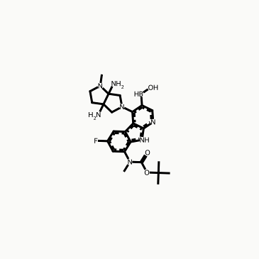 CN(C(=O)OC(C)(C)C)c1cc(F)cc2c1[nH]c1ncc(BO)c(N3CC4(N)CCN(C)C4(N)C3)c12